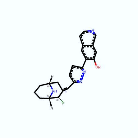 Oc1cc2cnccc2cc1-c1ccc(/C=C2\C[C@H]3CCC[C@H](N3)[C@H]2F)nn1